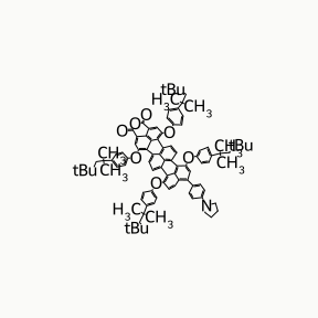 CC(C)(C)CC(C)(C)c1ccc(Oc2ccc3c(-c4ccc(N5CCCC5)cc4)cc(Oc4ccc(C(C)(C)CC(C)(C)C)cc4)c4c5ccc6c7c(Oc8ccc(C(C)(C)CC(C)(C)C)cc8)cc8c9c(cc(Oc%10ccc(C(C)(C)CC(C)(C)C)cc%10)c(c%10ccc(c2c34)c5c%106)c97)C(=O)OC8=O)cc1